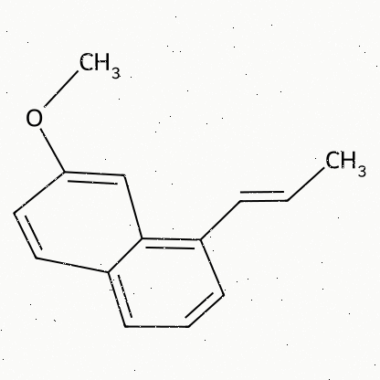 C/C=C/c1cccc2ccc(OC)cc12